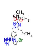 CCCCc1nc(C(CCC)(OC)OC)nn1Cc1ccc(-n2c(Br)ccc2-c2nnn[nH]2)cc1